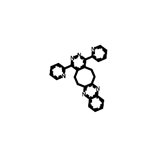 c1ccc(-c2nnc(-c3ccccn3)c3c2CCc2nc4ccccc4nc2CC3)nc1